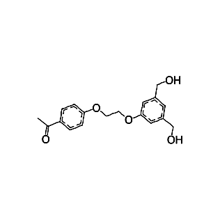 CC(=O)c1ccc(OCCOc2cc(CO)cc(CO)c2)cc1